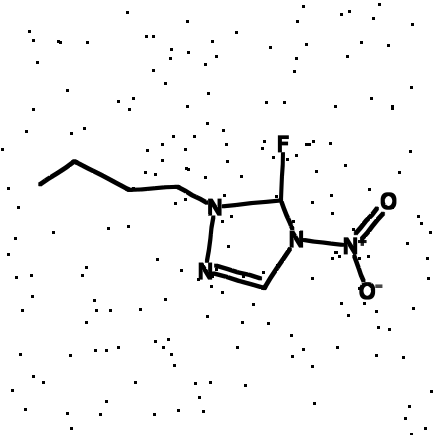 CCCCN1N=CN([N+](=O)[O-])C1F